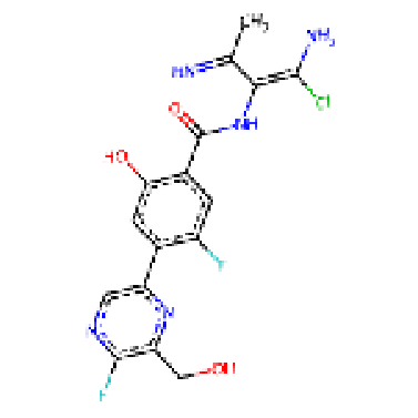 CC(=N)/C(NC(=O)c1cc(F)c(-c2cnc(F)c(CO)n2)cc1O)=C(\N)Cl